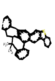 CC1(C)c2ccccc2-c2c3c(cc4cc5sc6ccccc6c5cc24)-c2ccccc2CC31